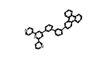 c1cc(-c2cccc(-c3ccc4c5ccccc5c5ccccc5c4c3)c2)cc(-c2cc(-c3ccncc3)nc(-c3cccnc3)c2)c1